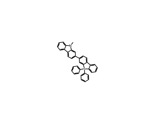 Cn1c2ccccc2c2ccc(-c3ccc4c(c3)S(c3ccccc3)(c3ccccc3)c3ccccc3-4)cc21